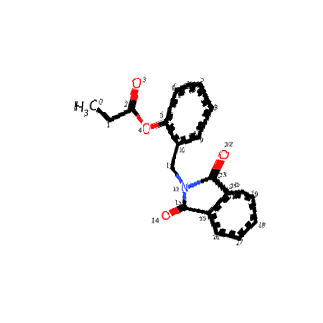 CCC(=O)Oc1ccccc1CN1C(=O)c2ccccc2C1=O